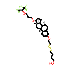 C[C@]12CC[C@@H]3c4ccc(OCCSSCCCCO)cc4CC[C@H]3[C@@H]1CC[C@@H]2OCCCOC(C(F)(F)F)C(F)(F)F